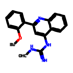 CCC(C)Oc1ccccc1-c1cc(NC(=N)NC=O)c2ccccc2n1